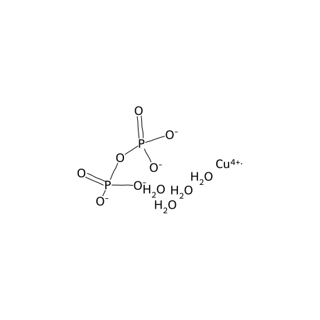 O.O.O.O.O=P([O-])([O-])OP(=O)([O-])[O-].[Cu+4]